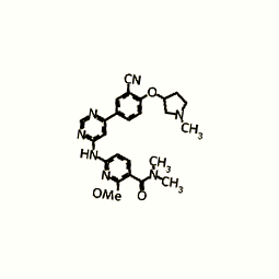 COc1nc(Nc2cc(-c3ccc(OC4CCN(C)C4)c(C#N)c3)ncn2)ccc1C(=O)N(C)C